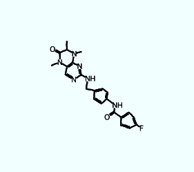 CC1C(=O)N(C)c2cnc(NCc3ccc(NC(=O)c4ccc(F)cc4)cc3)nc2N1C